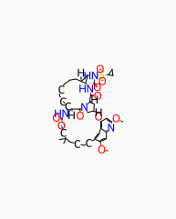 COc1cc2c3cc(c(OC)cc3n1)CCCCC(C)(C)COC(=O)N[C@H]1CCCCCCC[C@@H]3C[C@@]3(C(=O)NS(=O)(=O)C3CC3)NC(=O)[C@@H]3C[C@H](CN3C1=O)O2